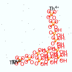 O=P(O)(O)OP(=O)(O)O.O=P(O)(O)OP(=O)(O)O.O=P(O)(O)OP(=O)(O)O.O=P(O)(O)OP(=O)(O)O.O=P([O-])([O-])[O-].O=P([O-])([O-])[O-].O=P([O-])([O-])[O-].O=P([O-])([O-])[O-].[Th+4].[Th+4].[Th+4]